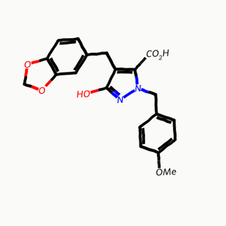 COc1ccc(Cn2nc(O)c(Cc3ccc4c(c3)OCO4)c2C(=O)O)cc1